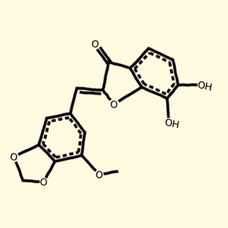 COc1cc(/C=C2\Oc3c(ccc(O)c3O)C2=O)cc2c1OCO2